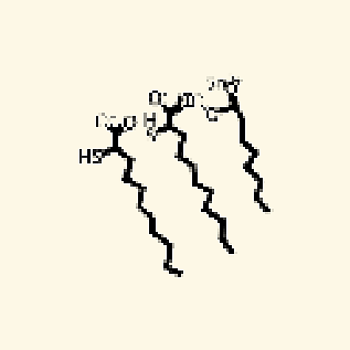 CCCCCCCC(=O)OO.CCCCCCCCCC(S)C(=O)[O-].CCCCCCCCCC(S)C(=O)[O-].[Sn+2]